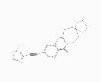 Cn1ncnc1C#Cc1ccc2c(=O)n3c(nc2c1)CCC1(CC3)OCCO1